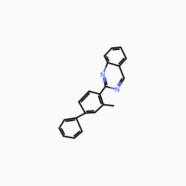 Cc1cc(-c2ccccc2)ccc1-c1ncc2ccccc2n1